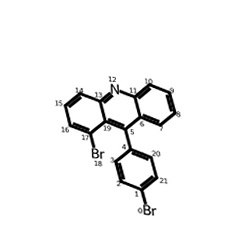 Brc1ccc(-c2c3ccccc3nc3cccc(Br)c23)cc1